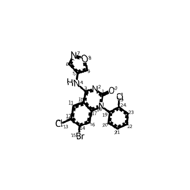 O=c1nc(Nc2cnoc2)c2cc(Cl)c(Br)cc2n1-c1ccccc1Cl